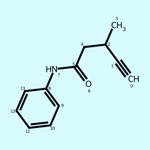 C#CC(C)CC(=O)Nc1ccccc1